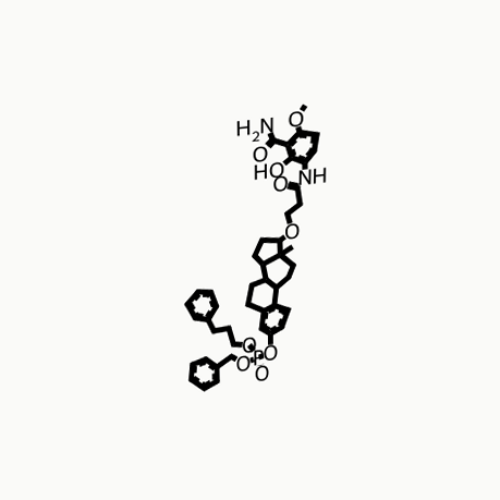 COc1ccc(NC(=O)CCOC2CCC3C4CCc5cc(OP(=O)(OCCCc6ccccc6)OCc6ccccc6)ccc5C4CCC23C)c(O)c1C(N)=O